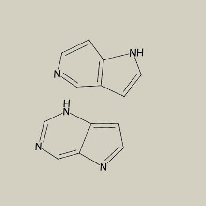 c1cc2[nH]ccc2cn1.c1cc2[nH]cncc-2n1